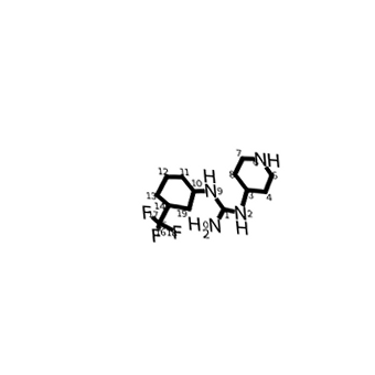 NC(NC1CCNCC1)NC1CCCC(C(F)(F)F)C1